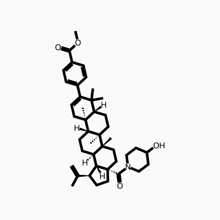 C=C(C)[C@@H]1CC[C@]2(C(=O)N3CCC(O)CC3)CC[C@]3(C)[C@H](CC[C@@H]4[C@@]5(C)CC=C(c6ccc(C(=O)OC)cc6)C(C)(C)[C@@H]5CC[C@]43C)[C@@H]12